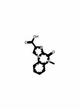 Cn1c(=O)c2nc(C(=O)O)cn2c2ccccc21